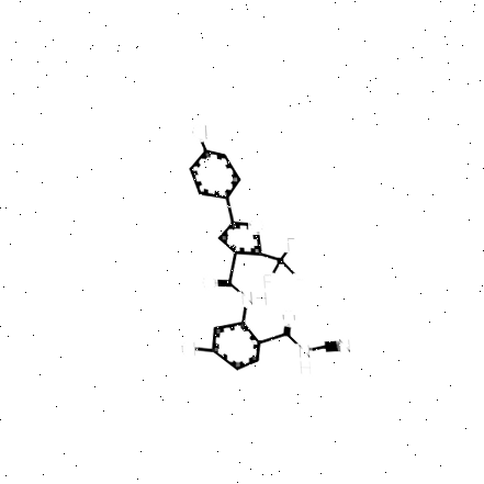 N#CNC(=O)c1ccc(Cl)cc1NC(=O)c1cc(-c2ccc(Cl)cc2)oc1C(F)(F)F